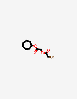 O=C(CBr)OCC(=O)OC1CCCCCC1